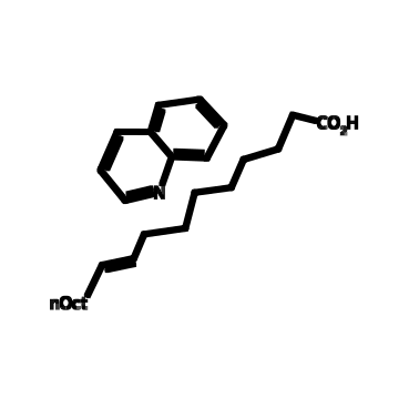 CCCCCCCCC=CCCCCCCCC(=O)O.c1ccc2ncccc2c1